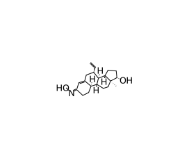 C=C[C@@H]1CC2=C/C(=N\O)CC[C@@H]2[C@H]2CC[C@]3(C)[C@@H](O)CC[C@H]3[C@@H]21